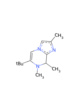 Cc1cn2c(n1)C(C)N(C)C(C(C)(C)C)=C2